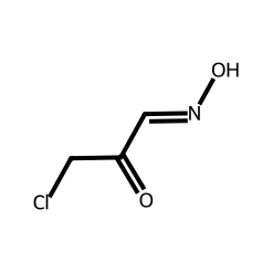 O=C(C=NO)CCl